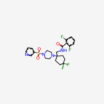 O=C(NCC1(N2CCN(S(=O)(=O)c3cccnc3)CC2)CCC(F)(F)CC1)c1c(F)cccc1F